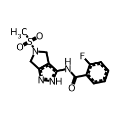 CS(=O)(=O)N1Cc2n[nH]c(NC(=O)c3ccccc3F)c2C1